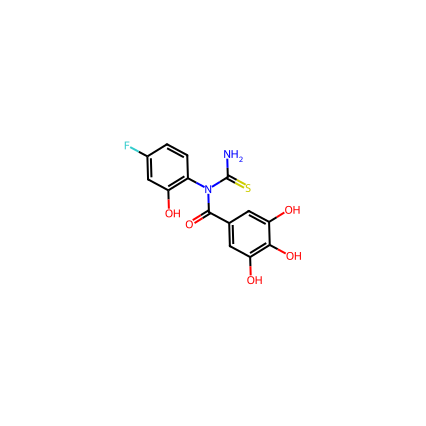 NC(=S)N(C(=O)c1cc(O)c(O)c(O)c1)c1ccc(F)cc1O